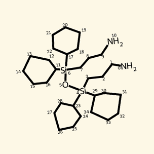 NCCC[Si](O[Si](CCCN)(C1CCCCC1)C1CCCCC1)(C1CCCCC1)C1CCCCC1